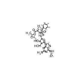 CC(C)OC(=O)[C@@H](C)N[P@@](=O)(OC[C@H]1O[C@@H](n2cnc3c(NC4CC4)nc(N)nc32)[C@@H](CO)[C@@H]1O)Oc1ccccc1